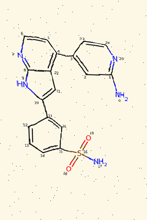 Nc1cc(-c2ccnc3[nH]c(-c4cccc(S(N)(=O)=O)c4)cc23)ccn1